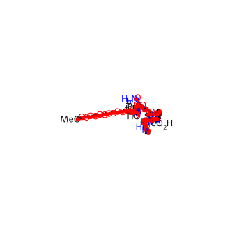 COCCOCCOCCOCCOCCOCCOCCOCCOCCOCCOCCOc1ccc(C[C@@H](C(=O)N[C@H](C(=O)N[C@@H](CCCNC(N)=O)C(=O)Nc2ccc(COC(=O)N(CCOC34CC5(C)CC(C)(CC(Cn6ncc(-c7ccc(-c8ccc9cccc(C(=O)Nc%10nc%11ccccc%11s%10)c9c8)nc7C(=O)O)c6C)(C5)C3)C4)CCS(=O)(=O)O)cc2)C(C)C)N2C(=O)C=CC2=O)cc1